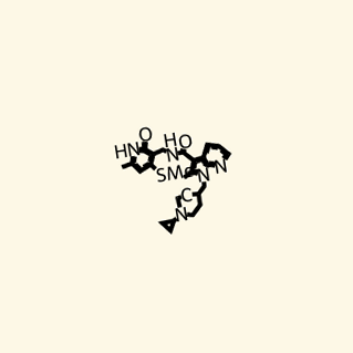 CSc1cc(C)[nH]c(=O)c1CNC(=O)c1c(C)n(CC2CCN(C3CC3)CC2)c2ncccc12